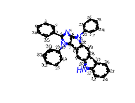 c1ccc(-c2nc3c(c4cc5[nH]c6ccccc6c5cc4n3-c3ccccc3)n2-c2ccccc2)cc1